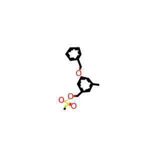 Cc1cc(COS(C)(=O)=O)cc(OCc2ccccc2)c1